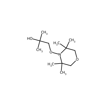 CC(C)(O)CON1C(C)(C)COCC1(C)C